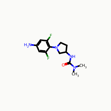 CN(C)C(=O)NC1CCN(c2c(F)cc(N)cc2F)C1